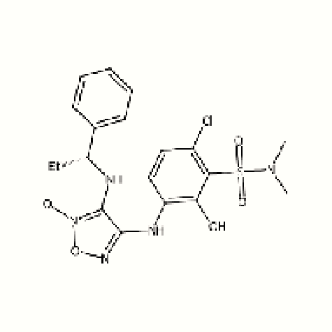 CC[C@@H](Nc1c(Nc2ccc(Cl)c(S(=O)(=O)N(C)C)c2O)no[n+]1[O-])c1ccccc1